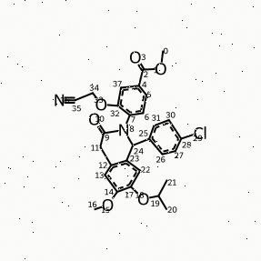 COC(=O)c1ccc(N2C(=O)Cc3cc(OC)c(OC(C)C)cc3C2c2ccc(Cl)cc2)c(OCC#N)c1